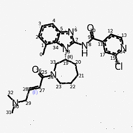 Cc1cccc2nc(NC(=O)c3ccnc(Cl)c3)n([C@@H]3CCCCN(C(=O)/C=C/CN(C)C)C3)c12